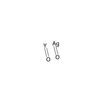 [O]=[Ag].[O]=[Y]